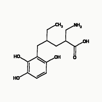 CCC(Cc1c(O)ccc(O)c1O)CC(CN)C(=O)O